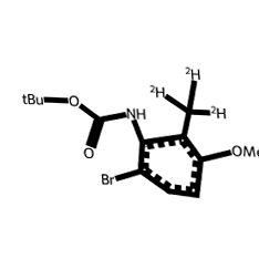 [2H]C([2H])([2H])c1c(OC)ccc(Br)c1NC(=O)OC(C)(C)C